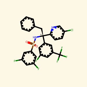 O=S(=O)(N[C@@](Cc1ccccc1)(c1cc(F)cc(C(F)(F)F)c1)c1ccc(Cl)cn1)c1cc(F)cc(F)c1